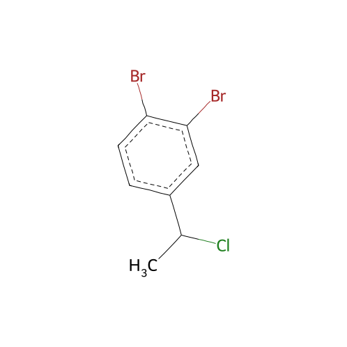 CC(Cl)c1ccc(Br)c(Br)c1